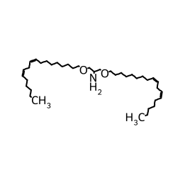 CCCCC/C=C\C/C=C\CCCCCCCCOCC(N)COCCCCCCCC/C=C\C/C=C\CCCCC